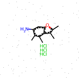 Cc1oc2cc(N)c(C)c(C)c2c1C.Cl.Cl.Cl